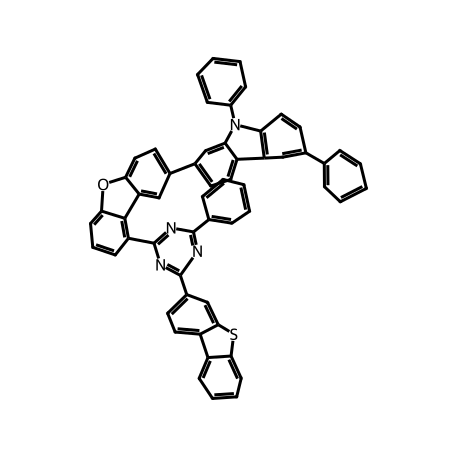 c1ccc(-c2ccc3c(c2)c2ccc(-c4ccc5oc6cccc(-c7nc(-c8ccccc8)nc(-c8ccc9c(c8)sc8ccccc89)n7)c6c5c4)cc2n3-c2ccccc2)cc1